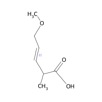 COC/C=C/C(C)C(=O)O